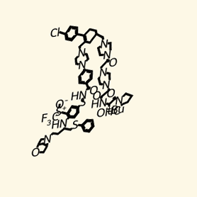 CC(C)(C)C(NC(=O)CN1CCN(CC(=O)N2CCN(CC3CCC(c4ccc(Cl)cc4)=C(CN4CCN(c5ccc(C(=O)NSc6ccc(NC(CCN7CC8CC7CO8)CSc7ccccc7)c([S+]([O-])C(F)(F)F)c6)cc5)CC4)C3)CC2)CC1)C(=O)N1CCCC1C=O